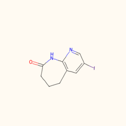 O=C1CCCc2cc(I)cnc2N1